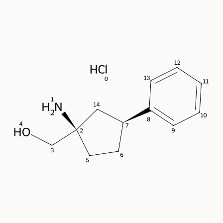 Cl.N[C@]1(CO)CC[C@H](c2ccccc2)C1